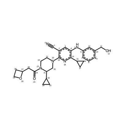 N#Cc1cc(Nc2ccnc(CO)c2)c(C2CC2)nc1N1CCN(C(=O)CC2CCO2)C(C2CC2)C1